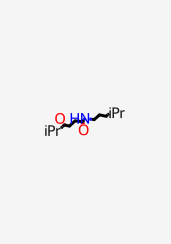 CC(C)CCCNC(=O)CCC(=O)C(C)C